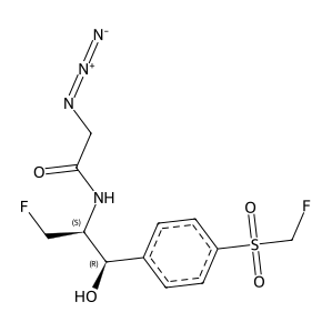 [N-]=[N+]=NCC(=O)N[C@H](CF)[C@H](O)c1ccc(S(=O)(=O)CF)cc1